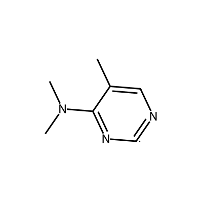 Cc1cn[c]nc1N(C)C